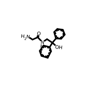 NCC(=O)NCC(O)(c1ccccc1)c1ccccc1